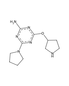 Nc1nc(OC2CCNC2)nc(N2CCCC2)n1